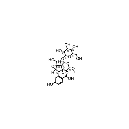 CO[C@@H]1C[C@@H]2[C@@H](c3cc(O)ccc3C(=O)O)[C@@H]3O[C@]3(CO)[C@H]2[C@H](O[C@@H]2O[C@H](CO)[C@@H](O)[C@H](O)[C@H]2O)O1